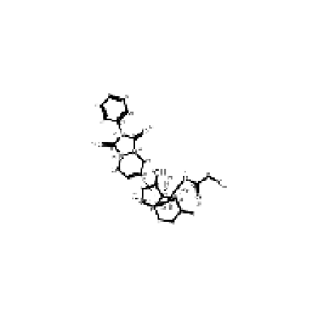 CC1CC[C@@]23CCC(O)[C@H]2[C@]1(C)C(OC(=O)CCl)C[C@@H](C1=CCn2c(=O)n(-c4ccccc4)c(=O)n2C1)[C@@H]3C